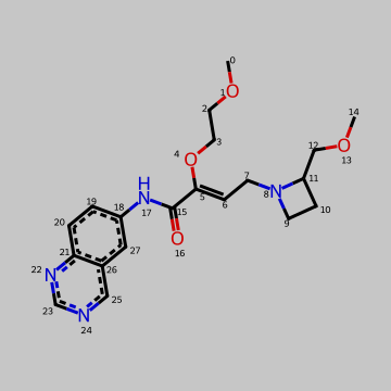 COCCOC(=CCN1CCC1COC)C(=O)Nc1ccc2ncncc2c1